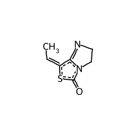 CC=c1sc(=O)n2c1=NCC2